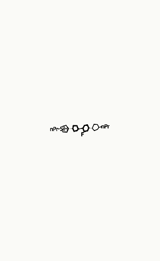 CCC[C@H]1CC[C@H](c2ccc(-c3ccc([C@H]4CC[Si@H](CCC)CC4)cc3)c(F)c2)CC1